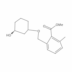 COC(=O)c1c(C)cccc1COC1CCC[C@H](O)C1